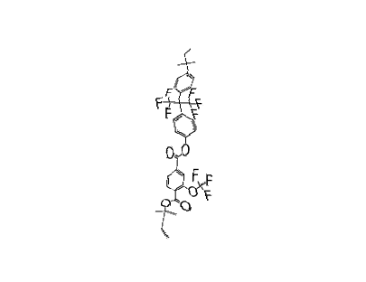 CCC(C)(C)OC(=O)c1ccc(C(=O)Oc2ccc(C(c3ccc(C(C)(C)CC)cc3)(C(F)(F)F)C(F)(F)F)cc2)cc1OC(F)(F)F